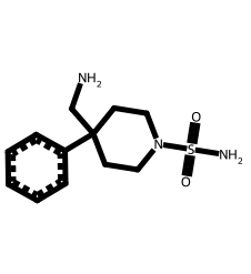 NCC1(c2ccccc2)CCN(S(N)(=O)=O)CC1